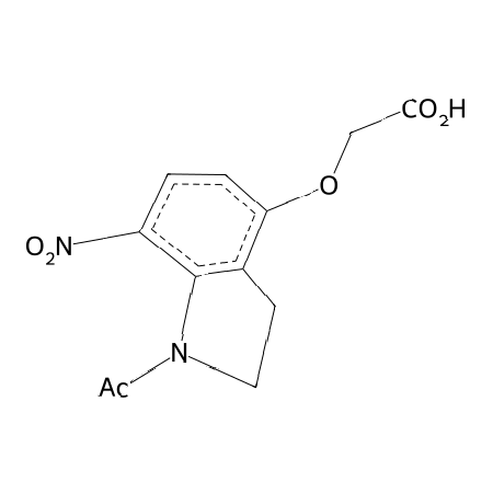 CC(=O)N1CCc2c(OCC(=O)O)ccc([N+](=O)[O-])c21